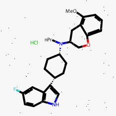 CCCN(C1COc2cccc(OC)c2C1)[C@H]1CC[C@@H](c2c[nH]c3ccc(F)cc32)CC1.Cl